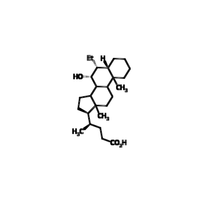 CC[C@H]1[C@@H](O)C2C3CC[C@H]([C@H](C)CCC(=O)O)C3(C)CCC2C2(C)CCCC[C@@H]12